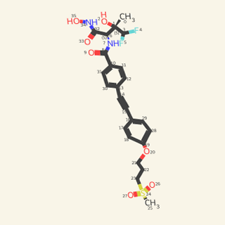 C[C@@](O)(C(F)F)[C@H](NC(=O)c1ccc(C#Cc2ccc(OCCCS(C)(=O)=O)cc2)cc1)C(=O)NO